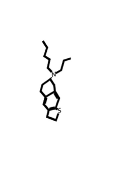 CCCCCN(CCC)[C@H]1CCc2cc3c(cc2C1)SCC3